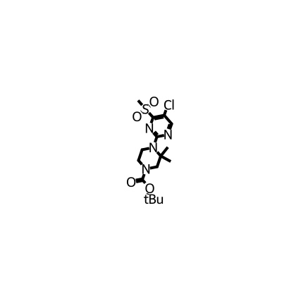 CC(C)(C)OC(=O)N1CCN(c2ncc(Cl)c(S(C)(=O)=O)n2)C(C)(C)C1